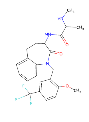 CNC(C)C(=O)NC1CCc2ccccc2N(Cc2cc(C(F)(F)F)ccc2OC)C1=O